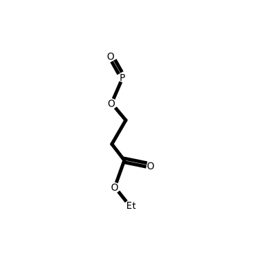 CCOC(=O)CCOP=O